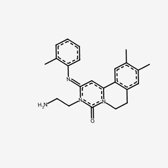 Cc1cc2c(cc1C)-c1c/c(=N\c3ccccc3C)n(CCN)c(=O)n1CC2